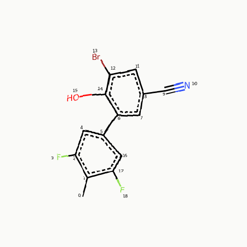 Cc1c(F)cc(-c2cc(C#N)cc(Br)c2O)cc1F